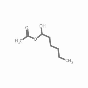 CCCCCC(O)OC(C)=O